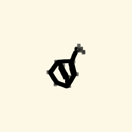 CC1=CC2C=CC1CC2